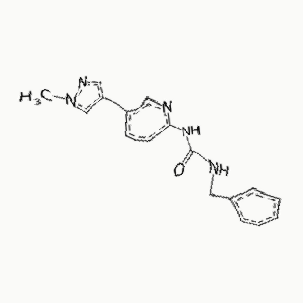 Cn1cc(-c2ccc(NC(=O)NCc3ccccc3)nc2)cn1